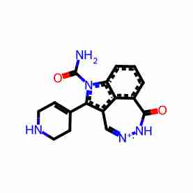 NC(=O)n1c(C2=CCNCC2)c2c3c(cccc31)C(=O)N[N+]=C2